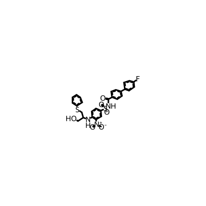 O=C(NS(=O)(=O)c1ccc(NC(CO)CSc2ccccc2)c([N+](=O)[O-])c1)c1ccc(-c2ccc(F)cc2)cc1